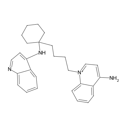 Nc1cc[n+](CCCCC2(Nc3ccnc4ccccc34)CCCCC2)c2ccccc12